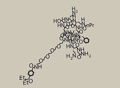 CCCCCC[C@H](NC(=O)CCOCCOCCOCCOCCNC(=O)c1ccc(C(=O)C(CC)CC)cc1)C(=O)NCC(=O)N[C@H](C(=O)N[C@@H](CCN)C(=O)N[C@@H](CCNC(=O)CCC)C(=O)N[C@@H](CCN)C(=O)N[C@H](Cc1ccccc1)C(=O)NCC(=O)N[C@@H](CCN)C(=O)NCC(N)=O)[C@@H](C)O